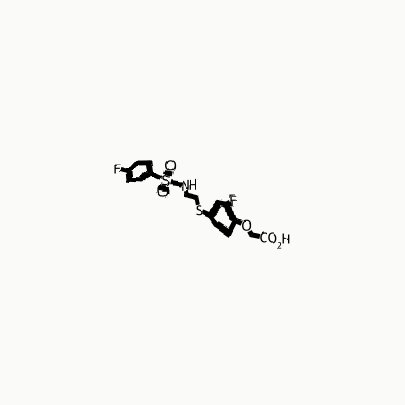 O=C(O)COc1ccc(SCCNS(=O)(=O)c2ccc(F)cc2)cc1F